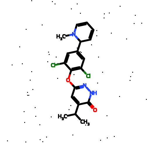 CC(C)c1cc(Oc2c(Cl)cc(C3C=CC=CN3C)cc2Cl)n[nH]c1=O